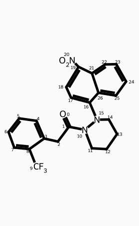 O=C(Cc1ccccc1C(F)(F)F)N1CCCCN1c1ccc([N+](=O)[O-])c2ccccc12